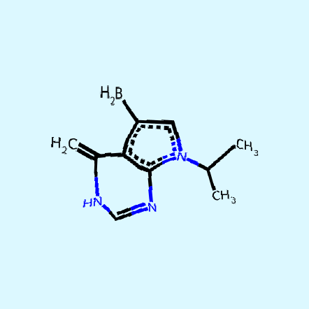 Bc1cn(C(C)C)c2c1C(=C)NC=N2